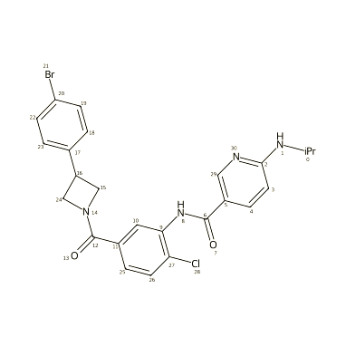 CC(C)Nc1ccc(C(=O)Nc2cc(C(=O)N3CC(c4ccc(Br)cc4)C3)ccc2Cl)cn1